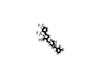 Oc1nc(-c2ccc(C(F)(F)F)cc2C(F)(F)F)ccc1CN1Cc2nc(-c3cccc(F)c3F)[nH]c2C=N1